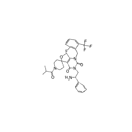 CC(C)C(=O)N1CCC2(CC1)OCc1c2c(=O)n(CC(N)c2ccccc2)c(=O)n1Cc1c(F)cccc1C(F)(F)F